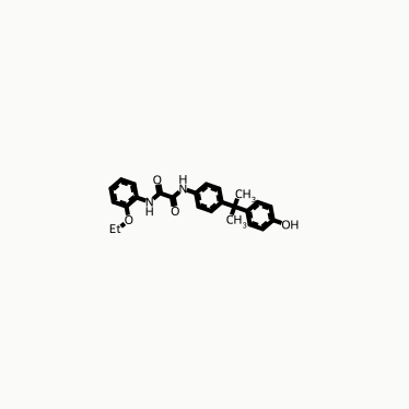 CCOc1ccccc1NC(=O)C(=O)Nc1ccc(C(C)(C)c2ccc(O)cc2)cc1